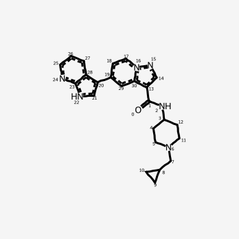 O=C(NC1CCN(CC2CC2)CC1)c1cnn2ccc(-c3c[nH]c4ncccc34)cc12